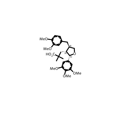 COc1ccc(C[C@H]2CO[C@H](c3cc(OC)c(OC)c(OC)c3)[C@@H]2CC(C)(C)C(=O)O)cc1OC